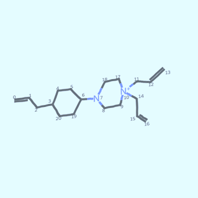 C=CCC1CCC(N2CC[N+](CC=C)(CC=C)CC2)CC1